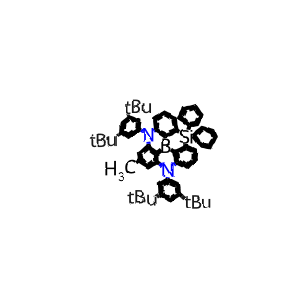 Cc1cc2c3c(c1)N(c1cc(C(C)(C)C)cc(C(C)(C)C)c1)c1cccc4c1B3c1c(cccc1[Si]4(c1ccccc1)c1ccccc1)N2c1cc(C(C)(C)C)cc(C(C)(C)C)c1